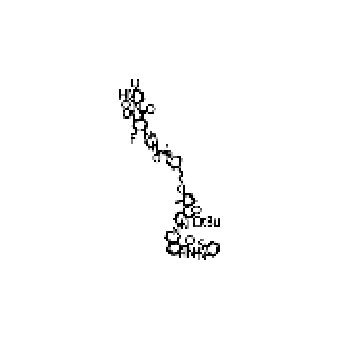 Cc1c(OCCCC2CCN([C@H](C)C(=O)N3CCN(c4cc5c(cc4F)C(=O)N(C4CCC(=O)NC4=O)C5=O)CC3)CC2)cccc1-c1ccc(N2CCc3cccc(C(=O)Nc4nc5ccccc5s4)c3C2)nc1C(=O)OC(C)(C)C